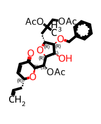 C=CC[C@@H]1C=CC(=O)[C@@H]([C@@H](OC(C)=O)[C@@H]2O[C@H](CC(C)(COC(C)=O)OC(C)=O)[C@H](OCc3ccccc3)[C@@H]2O)O1